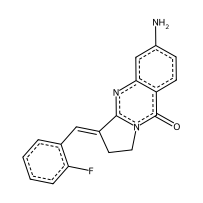 Nc1ccc2c(=O)n3c(nc2c1)C(=Cc1ccccc1F)CC3